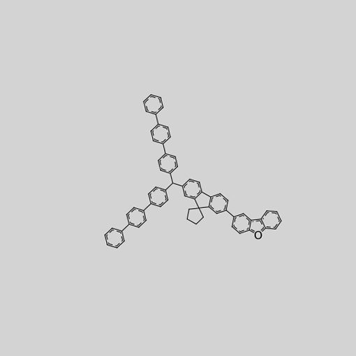 c1ccc(-c2ccc(-c3ccc(C(c4ccc(-c5ccc(-c6ccccc6)cc5)cc4)c4ccc5c(c4)C4(CCCC4)c4cc(-c6ccc7oc8ccccc8c7c6)ccc4-5)cc3)cc2)cc1